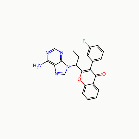 CCC(c1oc2ccccc2c(=O)c1-c1cccc(F)c1)n1cnc2c(N)ncnc21